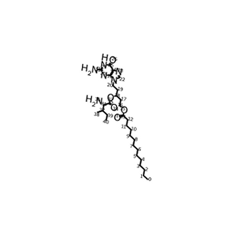 CCCCCCCCCCCCCC(=O)OCCC(CCn1cnc2c(=O)[nH]c(N)nc21)OC(=O)[C@@H](N)C(C)CC